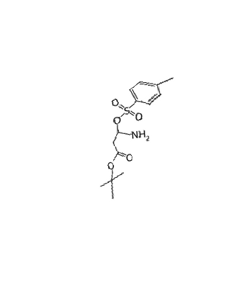 Cc1ccc(S(=O)(=O)OC(N)CC(=O)OC(C)(C)C)cc1